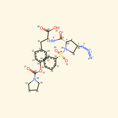 [N-]=[N+]=N[C@@H]1C[C@@H](C(=O)NC(Cc2ccc(OC(=O)N3CCCC3)cc2)C(=O)O)N(S(=O)(=O)c2ccccc2)C1